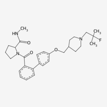 CNC(=O)C1CCCN1C(=O)c1ccccc1-c1ccc(OCC2CCN(CC(C)(C)F)CC2)cc1